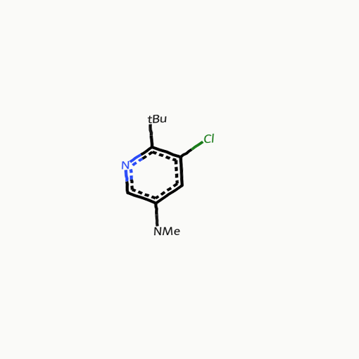 CNc1cnc(C(C)(C)C)c(Cl)c1